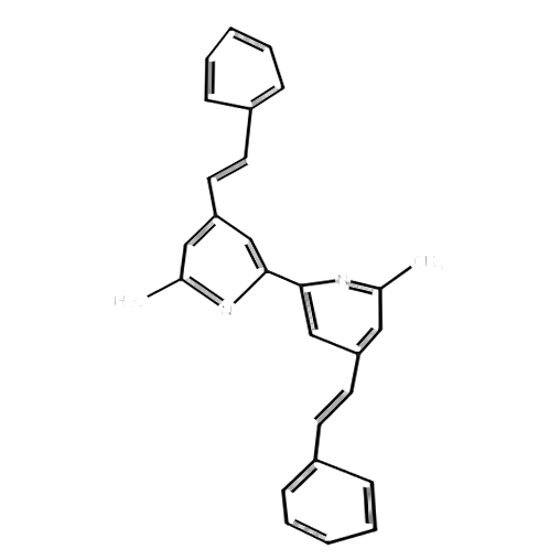 Cc1cc(C=Cc2ccccc2)cc(-c2cc(C=Cc3ccccc3)cc(C)n2)n1